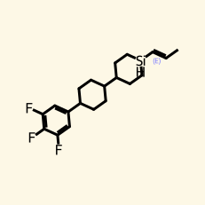 C/C=C/[SiH]1CCC(C2CCC(c3cc(F)c(F)c(F)c3)CC2)CC1